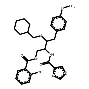 COc1ccc(CC(SCC2CCCCC2)C(CNC(=O)c2ccccc2O)NC(=O)c2cscn2)cc1